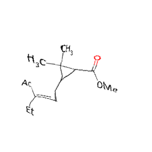 CCC(=CC1C(C(=O)OC)C1(C)C)C(C)=O